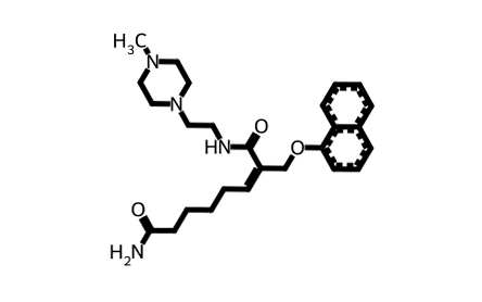 CN1CCN(CCNC(=O)C(=CCCCCC(N)=O)COc2cccc3ccccc23)CC1